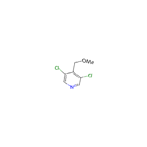 COCc1c(Cl)cncc1Cl